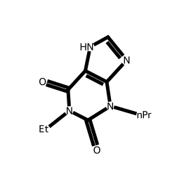 CCCn1c(=O)n(CC)c(=O)c2[nH]cnc21